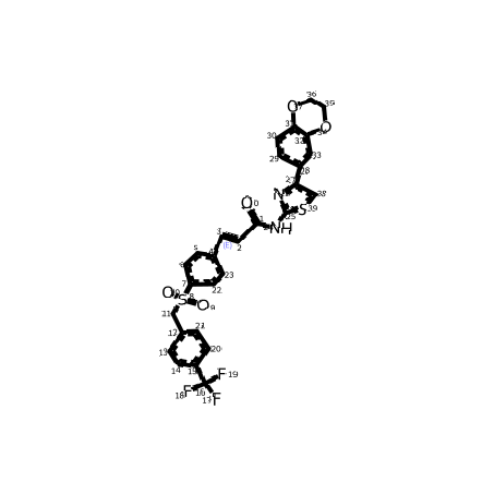 O=C(/C=C/c1ccc(S(=O)(=O)Cc2ccc(C(F)(F)F)cc2)cc1)Nc1nc(-c2ccc3c(c2)OCCO3)cs1